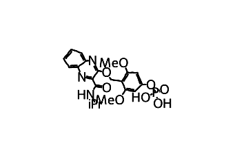 COc1cc(OP(=O)(O)O)cc(OC)c1COc1nc2ccccc2nc1C(=O)NC(C)C